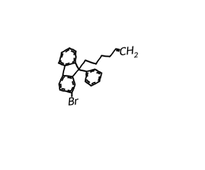 C=CCCCCC1(c2ccccc2)c2ccccc2-c2ccc(Br)cc21